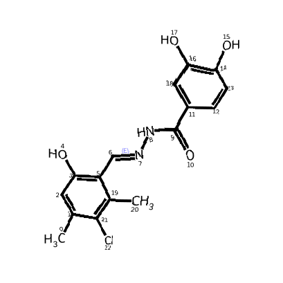 Cc1cc(O)c(/C=N/NC(=O)c2ccc(O)c(O)c2)c(C)c1Cl